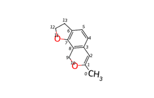 CC1=Cc2ccc3c(c2CO1)OCC3